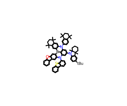 CC(C)(C)c1ccc2c(c1)C1(C)CCCCC1(C)N2c1cc2c3c(c1)N(c1cccc4c1sc1ccccc14)c1cc4c(cc1B3c1cc3c(cc1N2c1ccc2c(c1)C(C)(C)CCC2(C)C)C(C)(C)CCC3(C)C)oc1ccccc14